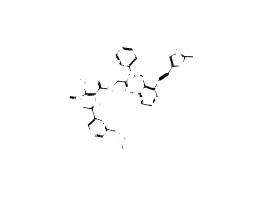 C=N/C(N)=C(\N=C(/C)c1cncc(NS(C)(=O)=O)c1)C(=O)N[C@H](C)c1nc2cccc(C#Cc3cnc(C)s3)c2c(=O)n1-c1ccccc1